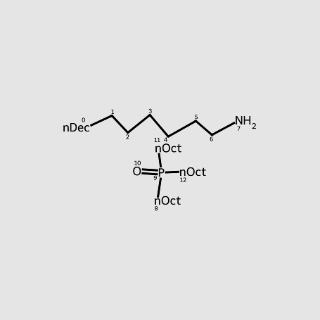 CCCCCCCCCCCCCCCCN.CCCCCCCCP(=O)(CCCCCCCC)CCCCCCCC